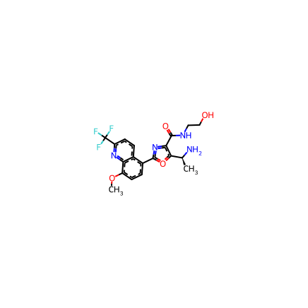 COc1ccc(-c2nc(C(=O)NCCO)c([C@H](C)N)o2)c2ccc(C(F)(F)F)nc12